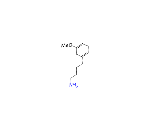 COC1=CCC=C(CCCCN)C1